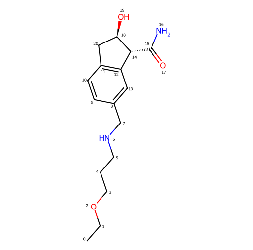 CCOCCCNCc1ccc2c(c1)[C@@H](C(N)=O)[C@H](O)C2